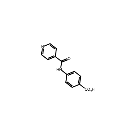 O=C(O)c1ccc(NC(=O)c2ccncc2)cc1